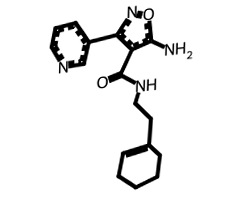 Nc1onc(-c2cccnc2)c1C(=O)NCCC1=CCCCC1